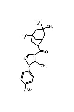 COc1ccc(-n2ncc(C(=O)N3CC4(C)CC3CC(C)(C)C4)c2C)cc1